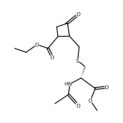 CCOC(=O)C1CC(=O)C1CSC[C@@H](NC(C)=O)C(=O)OC